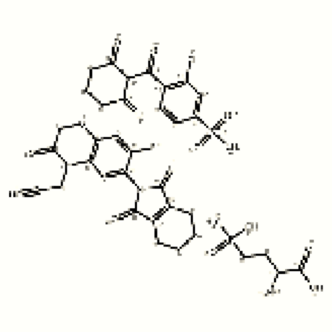 C#CCN1C(=O)COc2cc(F)c(N3C(=O)C4=C(CCCC4)C3=O)cc21.CP(=O)(O)CCC(N)C(=O)O.CS(=O)(=O)c1ccc(C(=O)C2C(=O)CCCC2=O)c(Cl)c1